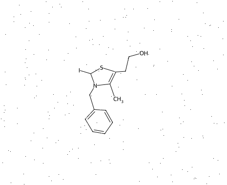 CC1=C(CCO)SC(I)N1Cc1ccccc1